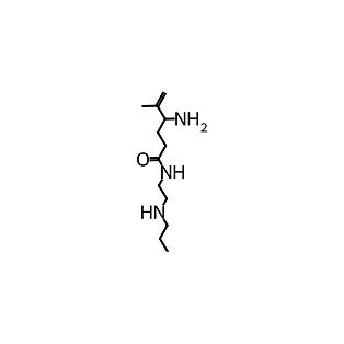 C=C(C)C(N)CCC(=O)NCCNCCC